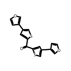 O=C(c1cc(-c2ccoc2)cs1)c1cc(-c2ccoc2)cs1